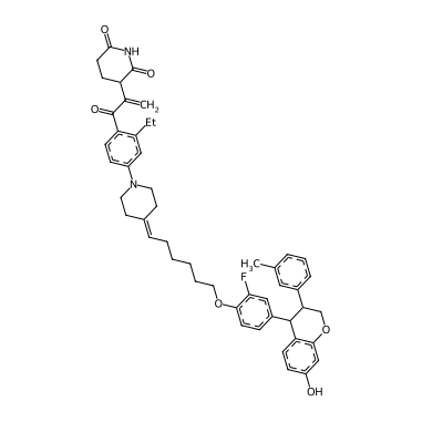 C=C(C(=O)c1ccc(N2CCC(=CCCCCCOc3ccc(C4c5ccc(O)cc5OCC4c4cccc(C)c4)cc3F)CC2)cc1CC)C1CCC(=O)NC1=O